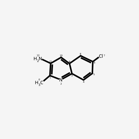 Cc1nc2ccc(Cl)cc2cc1N